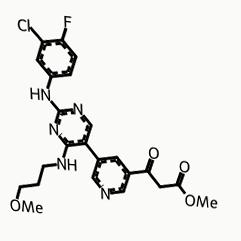 COCCCNc1nc(Nc2ccc(F)c(Cl)c2)ncc1-c1cncc(C(=O)CC(=O)OC)c1